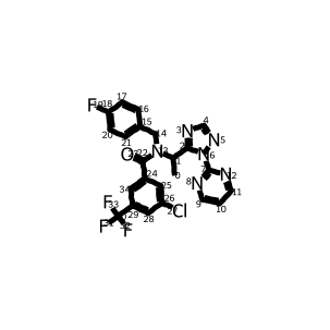 CC(c1ncnn1-c1ncccn1)N(Cc1ccc(F)cc1)C(=O)c1cc(Cl)cc(C(F)(F)F)c1